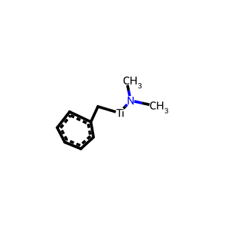 C[N](C)[Ti][CH2]c1ccccc1